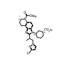 COC(=O)N1c2ccc3c(nc(C(C)Cn4ccc(Cl)n4)n3[C@@H]3CCC[C@@H](C(=O)O)C3)c2CC[C@@H]1C